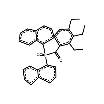 CCc1ccc(C(=O)P(=O)(c2cccc3ccccc23)c2cccc3ccccc23)c(CC)c1CC